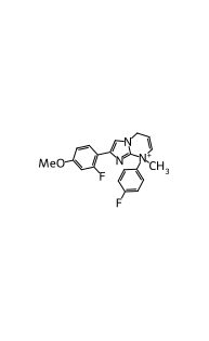 COc1ccc(-c2cn3c(n2)[N+](C)(c2ccc(F)cc2)C=CC3)c(F)c1